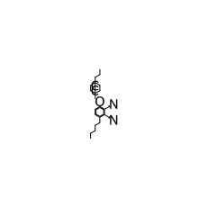 CCCCCc1ccc(OCC23CCC(CCC)(CC2)CC3)c(C#N)c1C#N